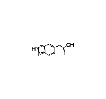 OC(I)Cc1ccc2n[nH]cc2c1